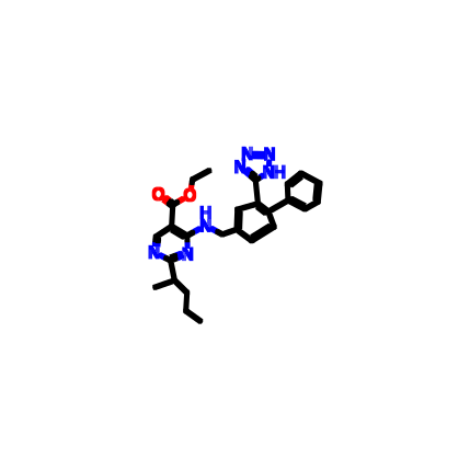 CCCC(C)c1ncc(C(=O)OCC)c(NCc2ccc(-c3ccccc3)c(-c3nnn[nH]3)c2)n1